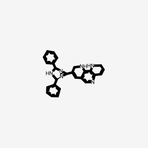 C1=Cc2ncc3c(c2NC1)NCC(C1N2C(c4ccccc4)NC(c4ccccc4)[N@]12)=C3